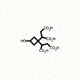 O=C(O)CC(C(=O)O)C1(C(CC(=O)O)C(=O)O)CC(O)C1